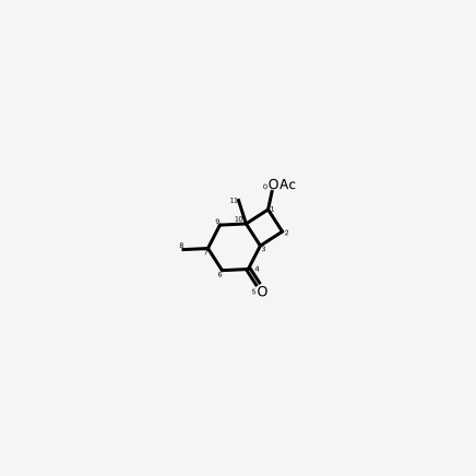 CC(=O)OC1CC2C(=O)CC(C)CC12C